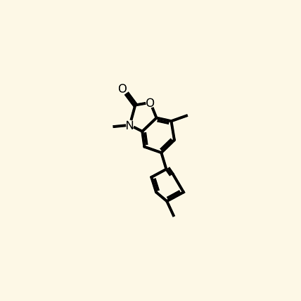 Cc1ccc(-c2cc(C)c3oc(=O)n(C)c3c2)cc1